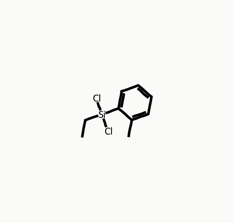 CC[Si](Cl)(Cl)c1ccccc1C